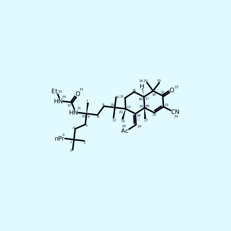 CCCC(C)(C)CC[C@@](C)(CCC(C)(C)[C@]1(C)CC[C@H]2C(C)(C)C(=O)C(C#N)=C[C@]2(C)/C1=C/C(C)=O)NC(=O)NCC